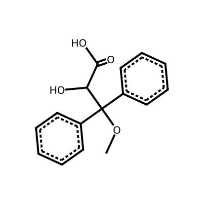 COC(c1ccccc1)(c1ccccc1)C(O)C(=O)O